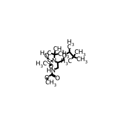 COC(=O)NCC(COC(C)C(C)(C)C)N(C(C)(C)C)S(C)(=O)=O